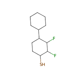 FC1C(S)CCC(C2CCCCC2)C1F